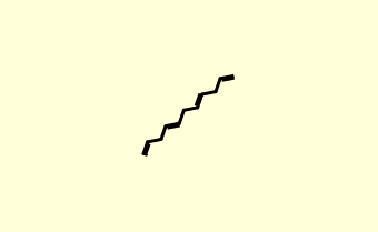 [CH]=CCC=CCC=CCC=C